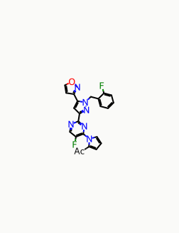 CC(=O)c1cccn1-c1nc(-c2cc(-c3ccon3)n(Cc3ccccc3F)n2)ncc1F